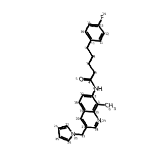 Cc1c(NC(=O)CCCCc2ccc(F)cc2)ccc2cc(Cn3cccc3)cnc12